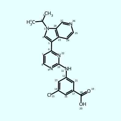 CC(C)n1cc(-c2ccnc(Nc3cc(Cl)cc(C(=O)O)c3)n2)c2ccncc21